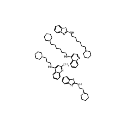 Cc1cc(NCCCN2CCCCC2)c2ccccc2n1.c1ccc2c(NCCCCCCN3CCCCC3)ccnc2c1.c1ccc2sc(NCCCCCCN3CCCCC3)nc2c1.c1ccc2sc(NCCN3CCCCC3)nc2c1